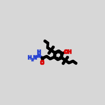 CCCC(C)(C)c1cc(CCC(=O)NN)c(C(C)(C)CCC)cc1O